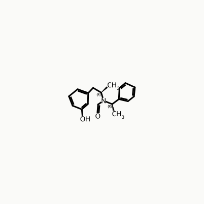 C[C@H](Cc1cccc(O)c1)N(C=O)[C@H](C)c1ccccc1